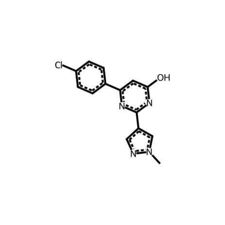 Cn1cc(-c2nc(O)cc(-c3ccc(Cl)cc3)n2)cn1